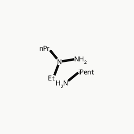 CCCC(C)N.CCCN(N)CC